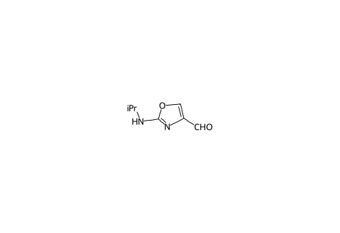 CC(C)Nc1nc(C=O)co1